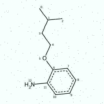 CC(C)CCOc1ccccc1N